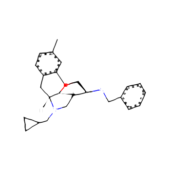 Cc1ccc2c(c1)[C@]13CCN(CC4CC4)[C@H](C2)[C@]12CCC(NCc1ccccc1)(CO2)C3